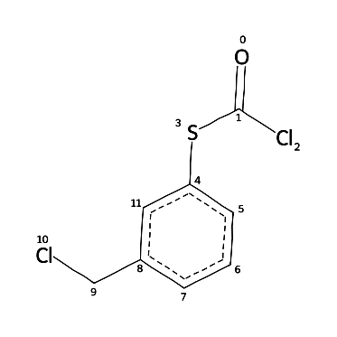 O=C(Cl)Sc1cccc(CCl)c1